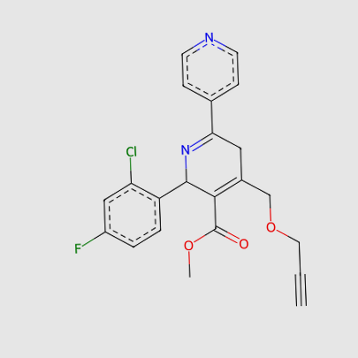 C#CCOCC1=C(C(=O)OC)C(c2ccc(F)cc2Cl)N=C(c2ccncc2)C1